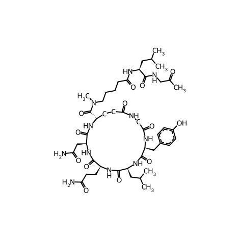 CC(=O)CNC(=O)[C@H](CC(C)C)NC(=O)CCCCN(C)C(=O)[C@@H]1CCC(=O)NCC(=O)N[C@@H](Cc2ccc(O)cc2)C(=O)N[C@@H](CC(C)C)C(=O)N[C@@H](CCC(N)=O)C(=O)N[C@@H](CC(N)=O)C(=O)N1